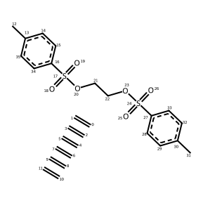 C=C.C=C.C=C.C=C.C=C.C=C.Cc1ccc(S(=O)(=O)OCCOS(=O)(=O)c2ccc(C)cc2)cc1